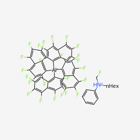 CCCCCC[NH+](CF)c1ccccc1.Fc1cc2[c]([Al-]([c]3c(F)c(F)c(F)c4c(F)c(F)c(F)cc34)([c]3c(F)c(F)c(F)c4c(F)c(F)c(F)cc34)[c]3c(F)c(F)c(F)c4c(F)c(F)c(F)cc34)c(F)c(F)c(F)c2c(F)c1F